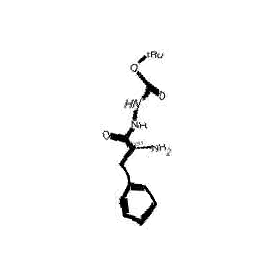 CC(C)(C)OC(=O)NNC(=O)[C@@H](N)Cc1ccccc1